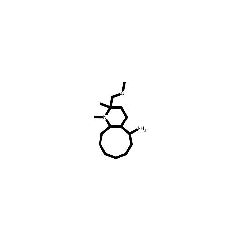 COCC1(C)CCC2C(N)CCCCCCC2N1C